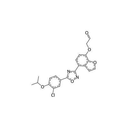 CC(C)Oc1ccc(-c2nc(-c3ccc(OCC=O)c4occc34)no2)cc1Cl